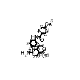 NC1=N[C@@]2(c3cc(NC(=O)c4cnc(OCF)cn4)ccc3F)CCO[C@H](CF)[C@H]2CS1